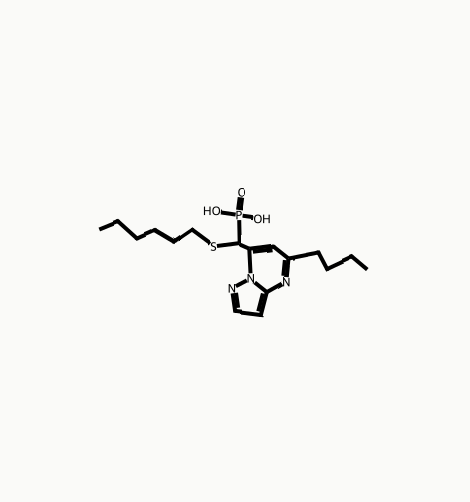 CCCCCCSC(c1cc(CCCC)nc2ccnn12)P(=O)(O)O